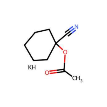 CC(=O)OC1(C#N)CCCCC1.[KH]